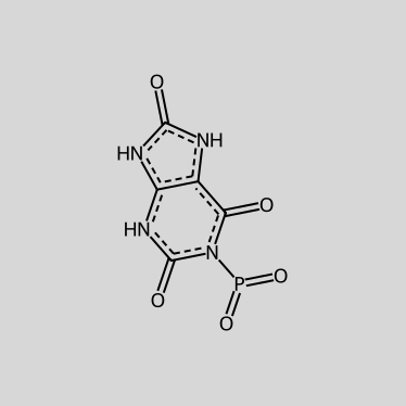 O=c1[nH]c2[nH]c(=O)n(P(=O)=O)c(=O)c2[nH]1